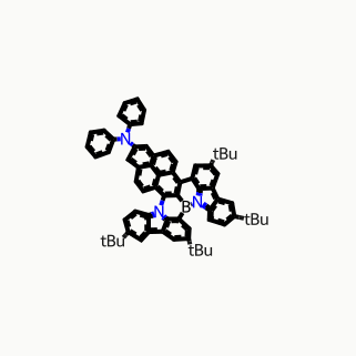 CC(C)(C)c1ccc2c(c1)c1cc(C(C)(C)C)cc3c1n2B1c2c-3c3ccc4cc(N(c5ccccc5)c5ccccc5)cc5ccc(c2-n2c6ccc(C(C)(C)C)cc6c6cc(C(C)(C)C)cc1c62)c3c45